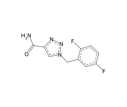 NC(=O)c1cn(Cc2cc(F)ccc2F)nn1